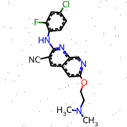 CN(C)CCOc1cc2cc(C#N)c(Nc3ccc(Cl)cc3F)nc2cn1